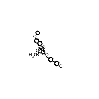 COC(=O)[C@@H]1C[C@@H](OCc2ccc(-c3ccc(O)cc3)cc2)CN1S(=O)(=O)c1ccc2cc(OC3CCCC3)ccc2c1